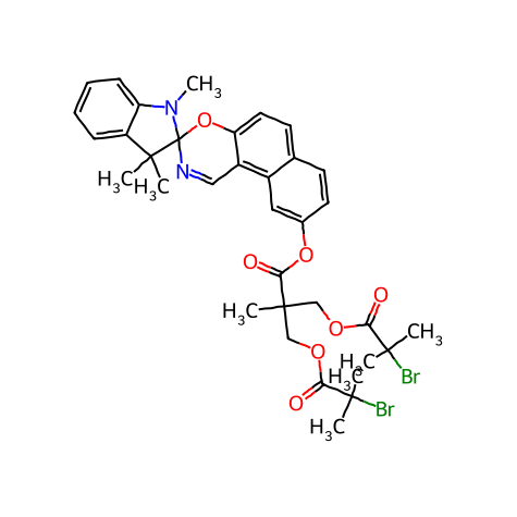 CN1c2ccccc2C(C)(C)C12N=Cc1c(ccc3ccc(OC(=O)C(C)(COC(=O)C(C)(C)Br)COC(=O)C(C)(C)Br)cc13)O2